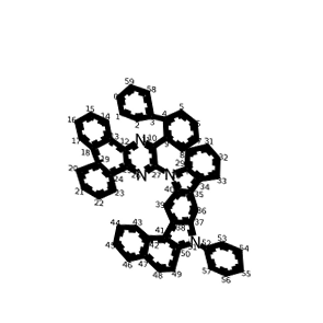 c1ccc(-c2ccccc2-c2nc3c4ccccc4c4ccccc4c3nc2-n2c3ccccc3c3cc4c(cc32)c2c3ccccc3ccc2n4-c2ccccc2)cc1